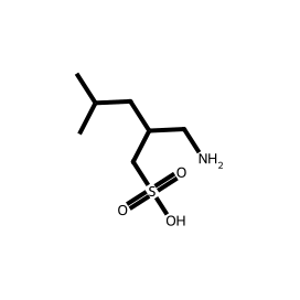 CC(C)CC(CN)CS(=O)(=O)O